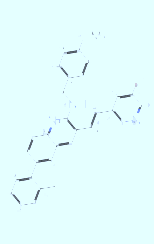 COc1ccc(CNc2nc3ccc(-c4ccccc4C)cc3cc2/C=C/c2cncc(Br)c2)cc1